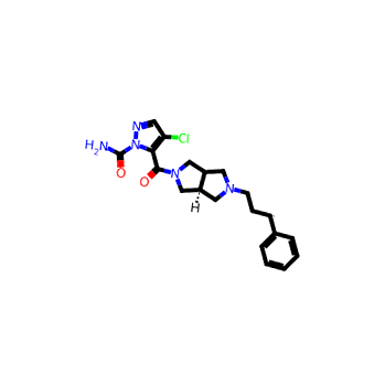 NC(=O)n1ncc(Cl)c1C(=O)N1CC2CN(CC[CH]c3ccccc3)C[C@H]2C1